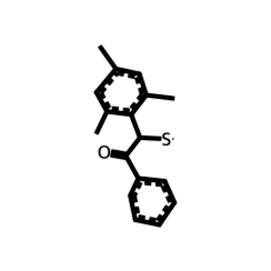 Cc1cc(C)c(C([S])C(=O)c2ccccc2)c(C)c1